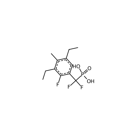 CCc1cc(C(F)(F)P(=O)(O)O)c(F)c(CC)c1C